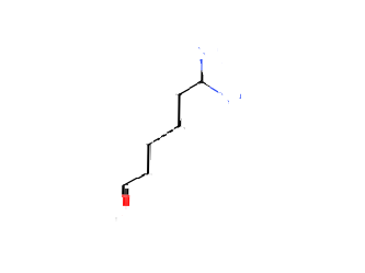 NC(N)CCCC[C]=O